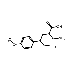 CCC(CC(CN)C(=O)O)c1ccc(OC)cc1